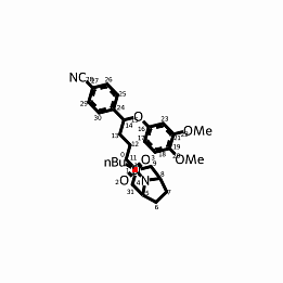 CCCCS(=O)(=O)N1C2CCC1CN(CCCC(Oc1ccc(OC)c(OC)c1)c1ccc(C#N)cc1)C2